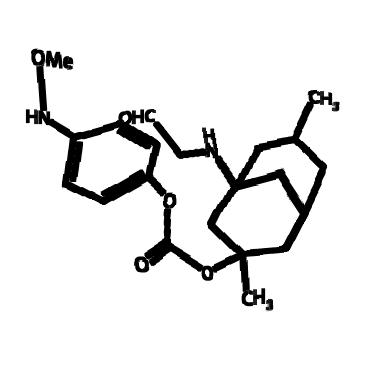 CONc1ccc(OC(=O)OC2(C)CC3CC(C)CC(NCC=O)(C3)C2)cc1